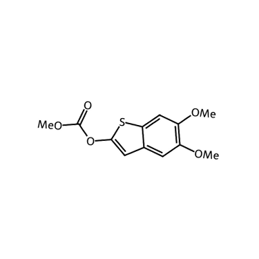 COC(=O)Oc1cc2cc(OC)c(OC)cc2s1